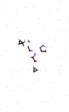 CCC1(C[C@H](NC(=O)O)C(=O)N[C@@H](C[C@@H]2CCNC2=O)C(=O)C(=O)NC2CC2)CC1